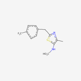 Cc1nc(Cc2ccc(C(F)(F)F)cc2)sc1NC(=O)O